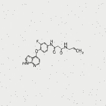 C=CCNC(=O)CC(=O)Nc1ccc(Oc2ccnc3[nH]ccc23)c(F)c1